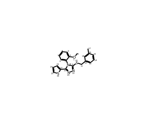 COc1ccccc1-n1c(SCc2cccc(C)c2)nnc1-c1cccs1